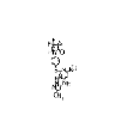 Cc1cc(Nc2cc(N3CCC3)nc(Sc3ccc(NC(=O)C4(C(F)(F)F)CC4)cc3)n2)[nH]n1